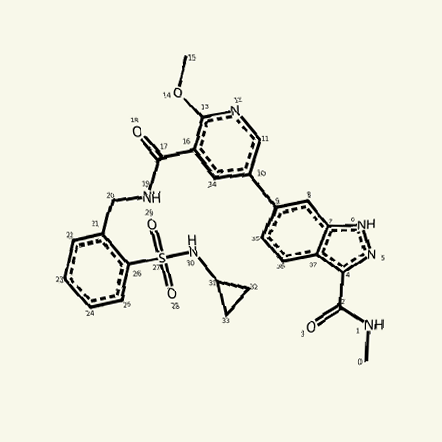 CNC(=O)c1n[nH]c2cc(-c3cnc(OC)c(C(=O)NCc4ccccc4S(=O)(=O)NC4CC4)c3)ccc12